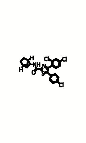 O=C(N[C@H]1C[C@@H]2CC[C@H]1C2)c1nc(-c2ccc(Cl)cc2Cl)c(-c2ccc(Cl)cc2)s1